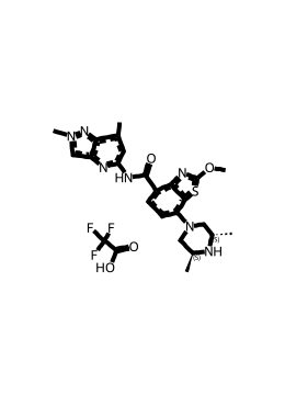 COc1nc2c(C(=O)Nc3cc(C)c4nn(C)cc4n3)ccc(N3C[C@H](C)N[C@@H](C)C3)c2s1.O=C(O)C(F)(F)F